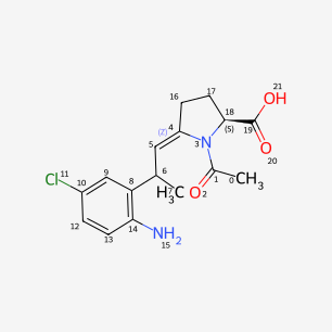 CC(=O)N1/C(=C\C(C)c2cc(Cl)ccc2N)CC[C@H]1C(=O)O